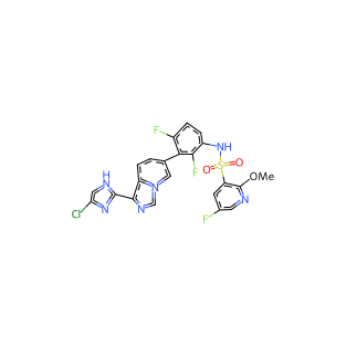 COc1ncc(F)cc1S(=O)(=O)Nc1ccc(F)c(-c2ccc3c(-c4nc(Cl)c[nH]4)ncn3c2)c1F